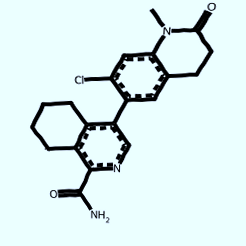 CN1C(=O)CCc2cc(-c3cnc(C(N)=O)c4c3CCC[CH]4)c(Cl)cc21